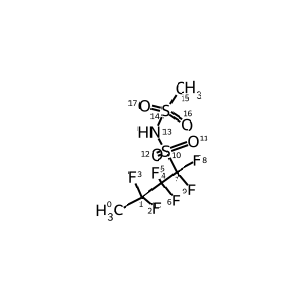 CC(F)(F)C(F)(F)C(F)(F)S(=O)(=O)NS(C)(=O)=O